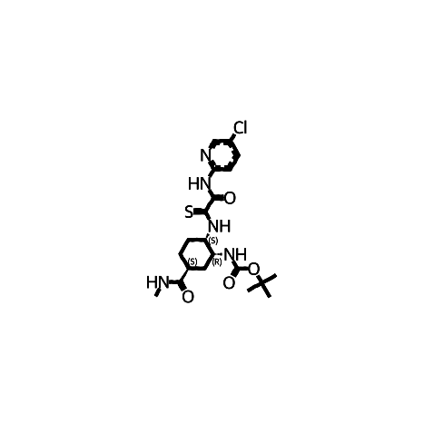 CNC(=O)[C@H]1CC[C@H](NC(=S)C(=O)Nc2ccc(Cl)cn2)[C@H](NC(=O)OC(C)(C)C)C1